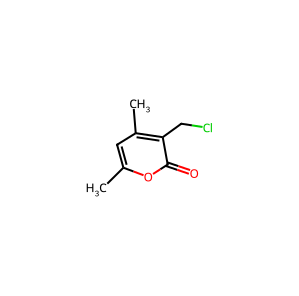 Cc1cc(C)c(CCl)c(=O)o1